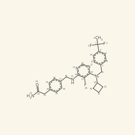 CC(F)(F)c1ccc(CN(c2ncnc(NCc3ccc(CC(N)=O)cc3)c2F)C2CCC2)cc1